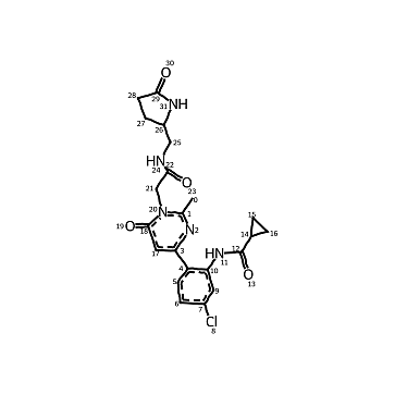 Cc1nc(-c2ccc(Cl)cc2NC(=O)C2CC2)cc(=O)n1CC(=O)NCC1CCC(=O)N1